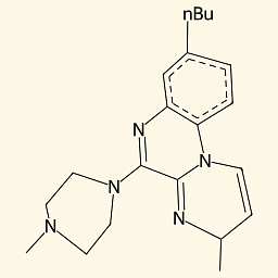 CCCCc1ccc2c(c1)N=C(N1CCN(C)CC1)C1=NC(C)C=CN12